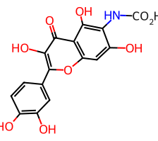 O=C(O)Nc1c(O)cc2oc(-c3ccc(O)c(O)c3)c(O)c(=O)c2c1O